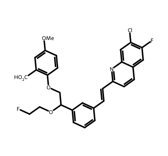 COc1ccc(OCC(OCCF)c2cccc(/C=C/c3ccc4cc(F)c(Cl)cc4n3)c2)c(C(=O)O)c1